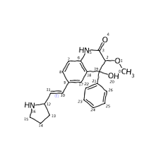 COC1C(=O)Nc2ccc(/C=C/C3CCCN3)cc2C1(O)c1ccccc1